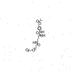 CN[C@@H](CCCCNC(=O)CCC(C)(C)OCCC(C)(C)OC)C(=O)Nc1ccc(COC(=O)C(C)C)cc1